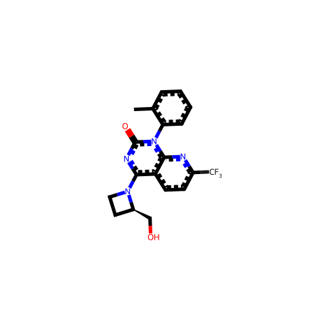 Cc1ccccc1-n1c(=O)nc(N2CC[C@@H]2CO)c2ccc(C(F)(F)F)nc21